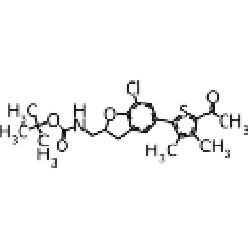 CC(=O)c1sc(-c2cc(Cl)c3c(c2)CC(CNC(=O)OC(C)(C)C)O3)c(C)c1C